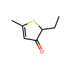 CCC1SC(C)=CC1=O